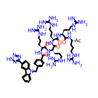 CC(=O)[C@H](CCCNC(=N)N)NC(=O)[C@H](CCCNC(=N)N)NC(=O)[C@H](CCCNC(=N)N)NC(=O)[C@H](CCCNC(=N)N)NC(=O)[C@H](CCCNC(=N)N)NC(=O)c1ccc(Cn2c3ccccc3c3cc(-c4nn[nH]n4)ccc32)cc1